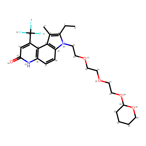 CCc1c(C)c2c3c(C(F)(F)F)cc(=O)[nH]c3ccc2n1CCOCCOCCOC1CCCCO1